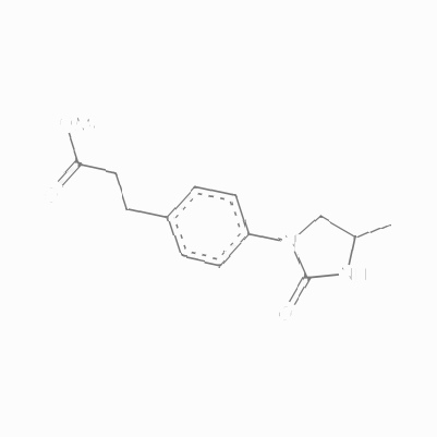 COC(=O)CCc1ccc(N2CC(C)NC2=O)cc1